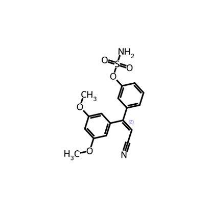 COc1cc(OC)cc(/C(=C\C#N)c2cccc(OS(N)(=O)=O)c2)c1